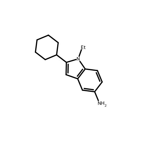 CCn1c(C2CCCCC2)cc2cc(N)ccc21